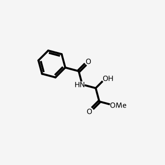 COC(=O)C(O)NC(=O)c1ccccc1